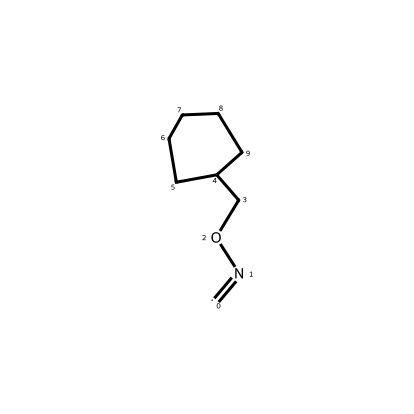 [CH]=NOCC1CCCCC1